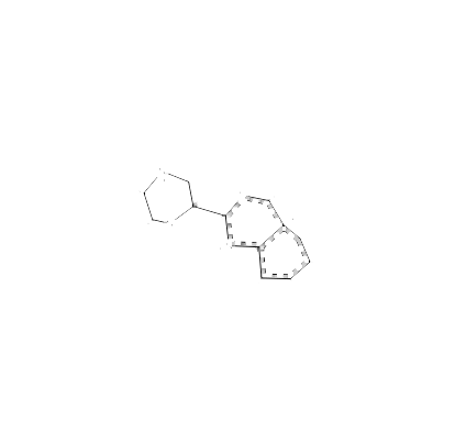 c1ccc2nc(C3CNCC[N]3)ncc2c1